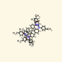 Cc1ccc(Nc2ccc3c(c2)C2(c4cc(N(c5ccc(C)cc5)c5ccc(C)cc5)ccc4-3)c3cc(N(c4ccc(C)cc4)c4ccc(C)cc4)ccc3-c3ccc([N+](c4ccc(C)cc4)(c4ccc(C)cc4)c4ccc(C)cc4)cc32)cc1